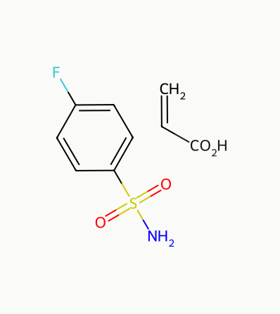 C=CC(=O)O.NS(=O)(=O)c1ccc(F)cc1